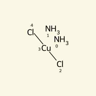 N.N.[Cl][Cu][Cl]